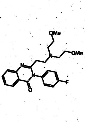 COCCN(CCOC)CCc1nc2ccccc2c(=O)n1-c1ccc(F)cc1